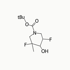 CC(C)(C)OC(=O)N1CC(F)C(O)C(C)(F)C1